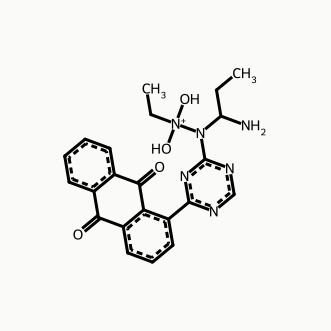 CCC(N)N(c1ncnc(-c2cccc3c2C(=O)c2ccccc2C3=O)n1)[N+](O)(O)CC